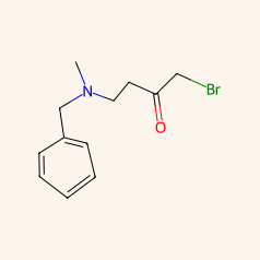 CN(CCC(=O)CBr)Cc1ccccc1